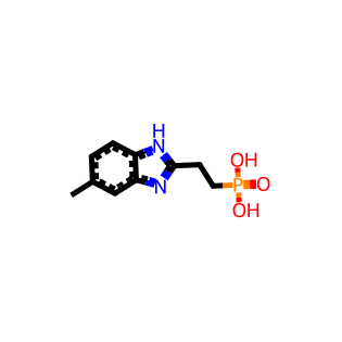 Cc1ccc2[nH]c(CCP(=O)(O)O)nc2c1